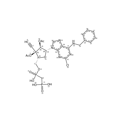 C#C[C@@]1(OC(C)=O)[C@@H](COP(=O)(O)CP(=O)(O)O)O[C@@H](n2cnc3c(NCc4ccccc4)nc(Cl)nc32)[C@@H]1OC(C)=O